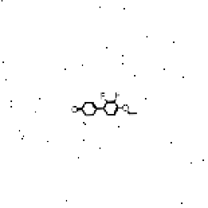 CCOC1=CCC(C2=CCC(=O)CC2)C(F)=C1F